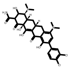 CN(C)c1cc(-c2ccc(Cl)c(Cl)c2)c(O)c2c1C[C@H]1C[C@H]3[C@H](N(C)C)C(O)C(C(N)=O)C(=O)[C@@]3(O)C(O)=C1C2=O